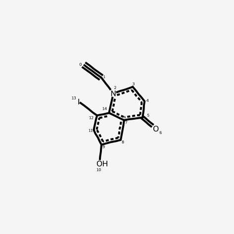 C#Cn1ccc(=O)c2cc(O)cc(I)c21